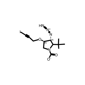 CC(C)(C)C1[C@@H](N=[N+]=N)[C@H](OCC#CI)CN1C(=O)[O-]